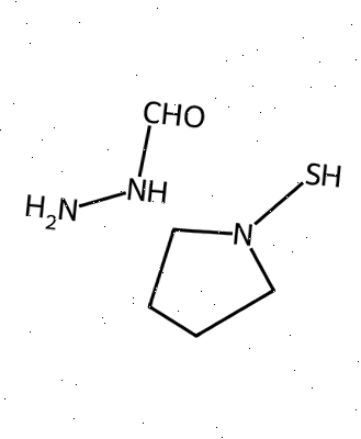 NNC=O.SN1CCCC1